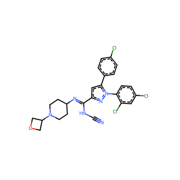 N#CNC(=NC1CCN(C2COC2)CC1)c1cc(-c2ccc(Cl)cc2)n(-c2ccc(Cl)cc2Cl)n1